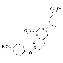 CCOC(=O)CCC(C)c1cc([N+](=O)[O-])c2cc(O[C@H]3CC[C@@H](C(F)(F)F)CC3)ccc2c1